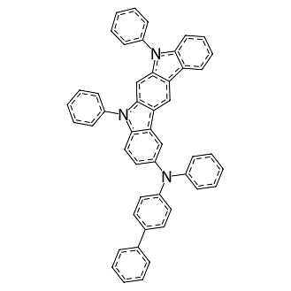 c1ccc(-c2ccc(N(c3ccccc3)c3ccc4c(c3)c3cc5c6ccccc6n(-c6ccccc6)c5cc3n4-c3ccccc3)cc2)cc1